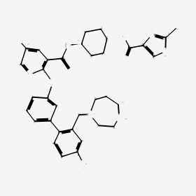 Cc1nc(C(=O)N[C@H]2CC[C@H](NC(=O)c3cc(F)cnc3Oc3cccc(-c4ccc(O)cc4CN4CCCOCC4)c3)CC2)cs1